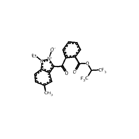 CCn1c2ccc(C)cc2c(C(=O)c2ccccc2C(=O)OC(C(F)(F)F)C(F)(F)F)[n+]1[O-]